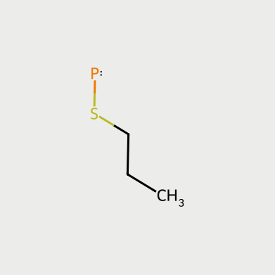 CCCS[P]